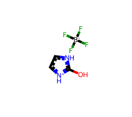 F[B-](F)(F)F.Oc1[nH]cc[nH+]1